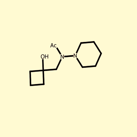 CC(=O)N(CC1(O)CCC1)N1CCCCC1